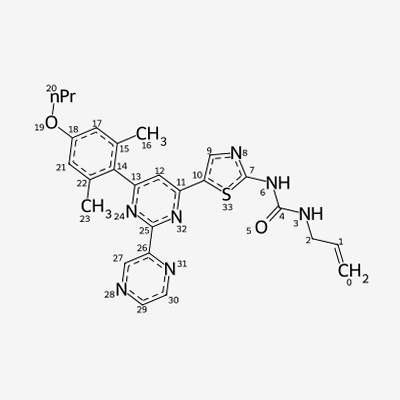 C=CCNC(=O)Nc1ncc(-c2cc(-c3c(C)cc(OCCC)cc3C)nc(-c3cnccn3)n2)s1